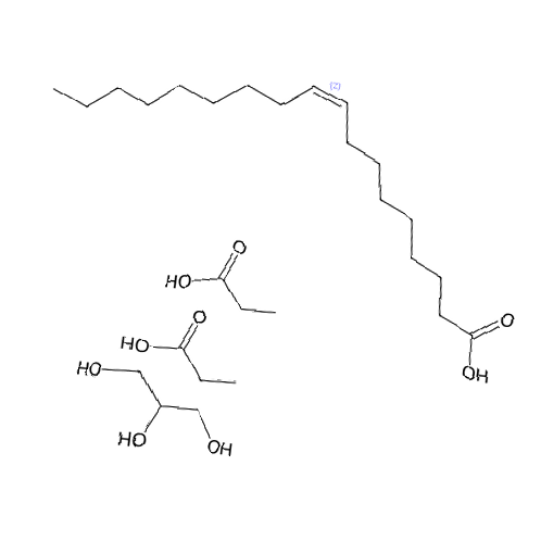 CCC(=O)O.CCC(=O)O.CCCCCCCC/C=C\CCCCCCCC(=O)O.OCC(O)CO